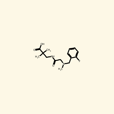 CN(CC(=O)NCC(C)(C)C(=O)O)Cc1ccccc1F